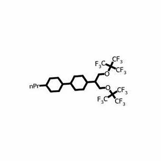 CCCC1CCC(C2CCC(C(COC(C(F)(F)F)(C(F)(F)F)C(F)(F)F)COC(C(F)(F)F)(C(F)(F)F)C(F)(F)F)CC2)CC1